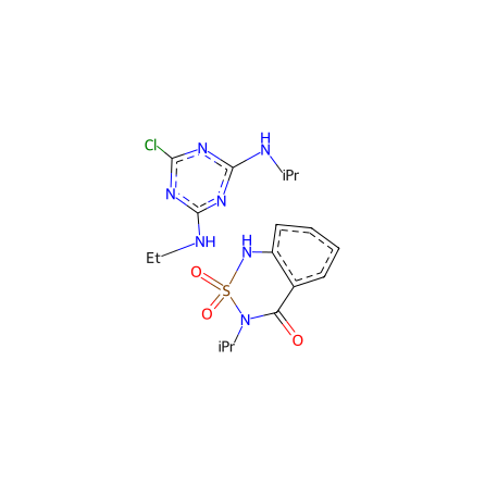 CC(C)N1C(=O)c2ccccc2NS1(=O)=O.CCNc1nc(Cl)nc(NC(C)C)n1